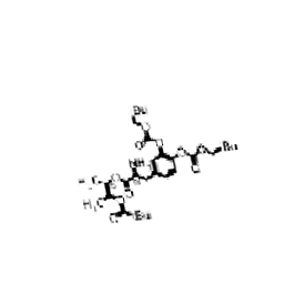 CCC(C)COC(=O)Oc1ccc(C[C@H](N)C(=O)O[C@@H](C)C(C)OC(=O)C(C)(C)C)cc1OC(=O)OCC(C)CC